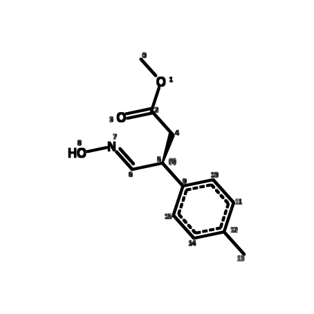 COC(=O)C[C@H](C=NO)c1ccc(C)cc1